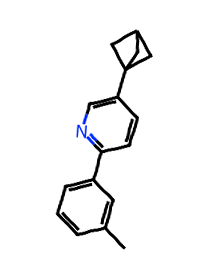 Cc1cccc(-c2ccc(C34CC(C3)C4)cn2)c1